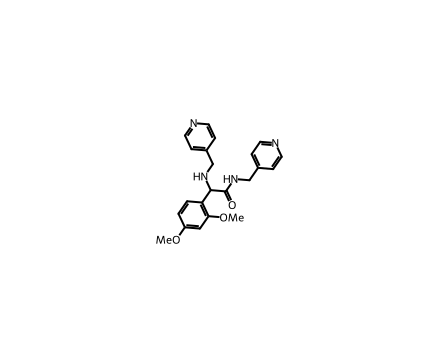 COc1ccc(C(NCc2ccncc2)C(=O)NCc2ccncc2)c(OC)c1